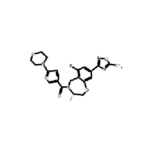 C[C@H]1COc2cc(-c3noc(C(F)(F)F)n3)cc(F)c2CN1C(=O)c1ccc(N2CCOCC2)nc1